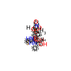 CC(C)(C(=O)N1CCOCC1)S(=O)(=O)CC(CC(=O)NC(Cc1cccs1)C(=O)N[C@@H](CC1CCCCC1)[C@@H](O)[C@@H](O)C1CC1)c1ccccc1